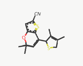 CC1=C(C)C(C2=CC(C)(C)Oc3cc(C#N)sc32)SC1